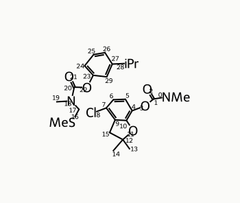 CNC(=O)Oc1ccc(Cl)c2c1OC(C)(C)C2.CSCN(C)C(=O)Oc1cccc(C(C)C)c1